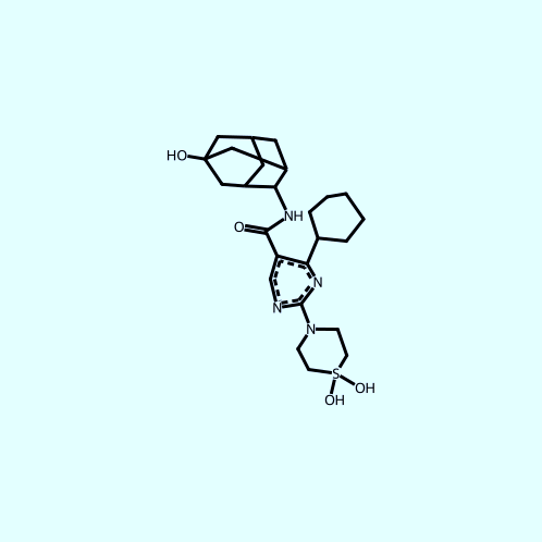 O=C(NC1C2CC3CC1CC(O)(C3)C2)c1cnc(N2CCS(O)(O)CC2)nc1C1CCCCC1